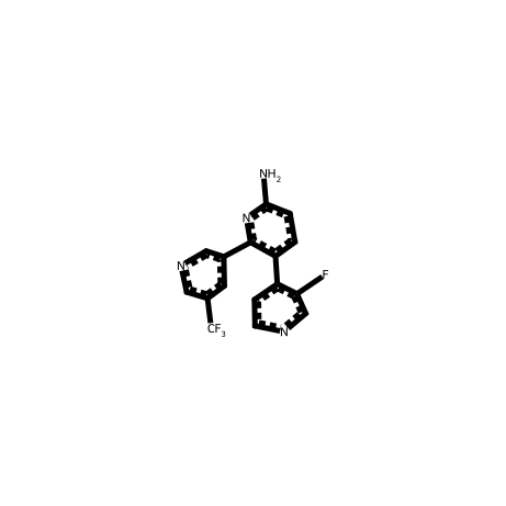 Nc1ccc(-c2ccncc2F)c(-c2cncc(C(F)(F)F)c2)n1